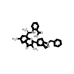 Cc1cc([C@@H](C)Nc2ccccc2C(=O)O)c2oc(-c3ccc4c(cnn4Cc4ccccc4)c3)c(C)c(=O)c2c1